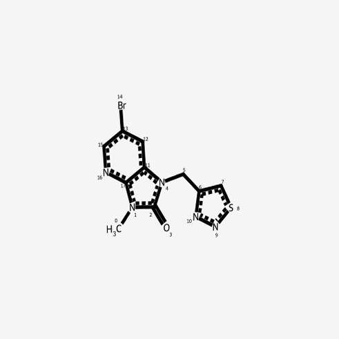 Cn1c(=O)n(Cc2csnn2)c2cc(Br)cnc21